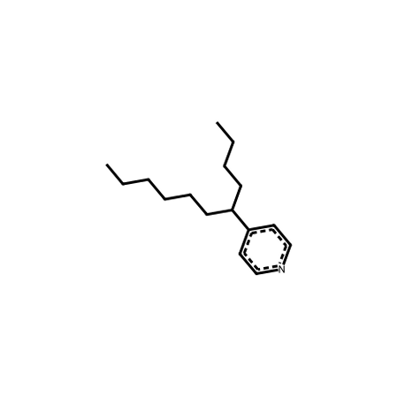 CCCCCCC(CCCC)c1ccncc1